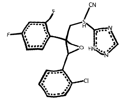 N#C[SH](CC1(c2ccc(F)cc2F)OC1c1ccccc1Cl)c1ncn[nH]1